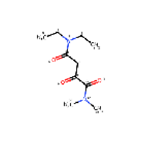 CCN(CC)C(=O)CC(=O)C(=O)N(C)C